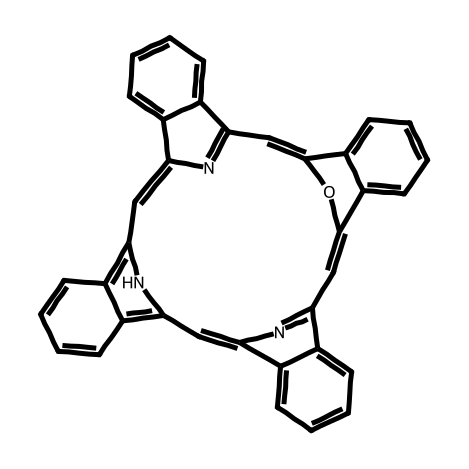 c1ccc2c(c1)-c1cc3[nH]c(cc4nc(cc5oc(cc-2n1)c1ccccc51)-c1ccccc1-4)c1ccccc31